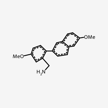 COc1ccc(-c2ccc3cc(OC)ccc3c2)c(CN)c1